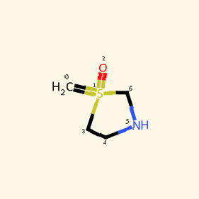 C=S1(=O)CCNC1